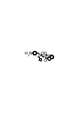 C[C@@H](C1CCC1)N(Cc1ccc(N)cc1)C(=O)CN1C(=O)NC2(CCc3ccccc32)C1=O